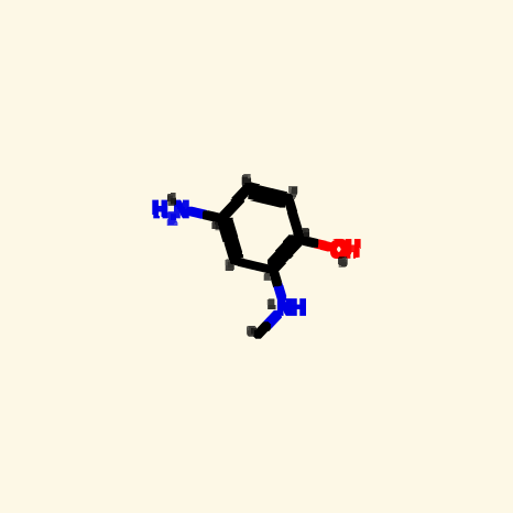 CNc1cc(N)ccc1O